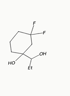 [CH2]CC(O)C1(O)CCCC(F)(F)C1